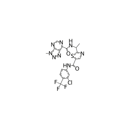 CC(NC(=O)c1ncnc2c1nnn2C)c1ncc(C(=O)Nc2ccc(C(F)(F)F)c(Cl)c2)s1